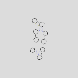 c1ccc(-n2c3ccccc3c3ccc(-c4ccc(-c5cccc(N(c6cccc7c6sc6ccccc67)c6cccc7c6sc6ccccc67)c5)cc4)cc32)cc1